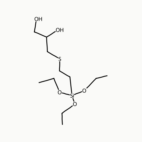 CCO[Si](CCSCC(O)CO)(OCC)OCC